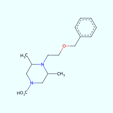 CC1CN(C(=O)O)CC(C)N1CCOCc1ccccc1